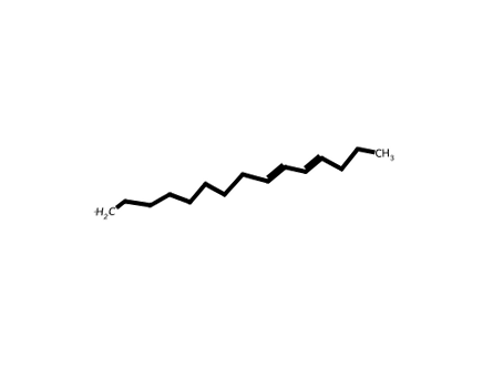 [CH2]CCCCCCCC=CC=CCCC